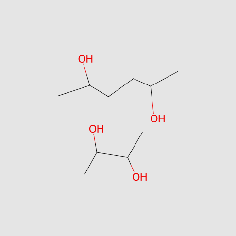 CC(O)C(C)O.CC(O)CCC(C)O